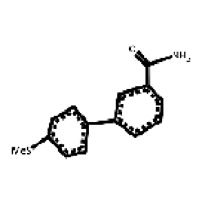 CSc1ccc(-c2cccc(C(N)=O)c2)cc1